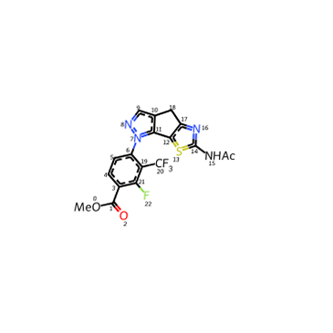 COC(=O)c1ccc(-n2ncc3c2-c2sc(NC(C)=O)nc2C3)c(C(F)(F)F)c1F